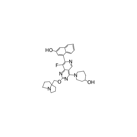 Oc1cc(-c2ncc3c(N4CCCC(O)CC4)nc(OCC45CCCN4CCC5)nc3c2F)c2ccccc2c1